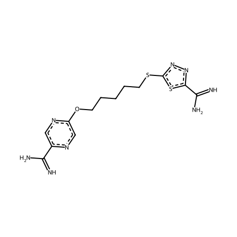 N=C(N)c1cnc(OCCCCCSc2nnc(C(=N)N)s2)cn1